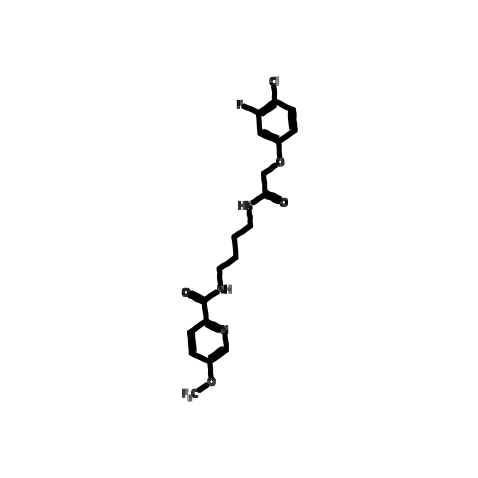 O=C(COc1ccc(Cl)c(F)c1)NCCCCNC(=O)c1ccc(OC(F)(F)F)cn1